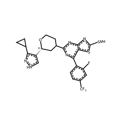 CSc1nc2nc(C3CCO[C@@H](c4c[nH]nc4C4CC4)C3)nc(-c3ccc(C(F)(F)F)cc3F)c2s1